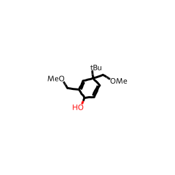 COCC1=CC(COC)(C(C)(C)C)C=CC1O